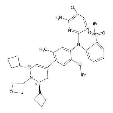 Cc1cc(N(c2ncc(Cl)c(N)n2)c2ccccc2S(=O)(=O)C(C)C)c(OC(C)C)cc1C1=C[C@@H](C2CCC2)N(C2COC2)[C@H](C2CCC2)C1